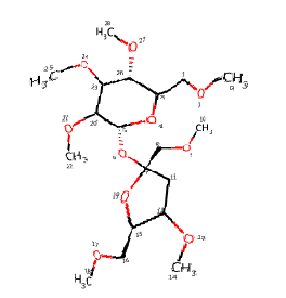 COCC1O[C@H](O[C@]2(COC)CC(OC)[C@@H](COC)O2)C(OC)C(OC)[C@@H]1OC